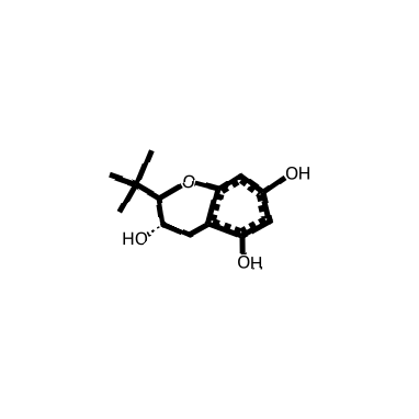 CC(C)(C)C1Oc2cc(O)cc(O)c2C[C@@H]1O